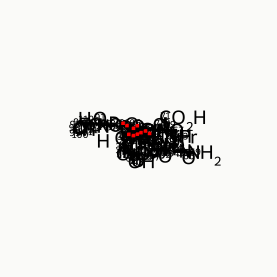 CCCC1O[C@@H]2C[C@H]3[C@@H]4C[C@H](F)C5=CC(=O)C=C[C@]5(C)[C@@]4(F)[C@@H](O)C[C@]3(C)[C@]2(C(=O)COC(=O)[C@H](CC(C)C)NC(=O)[C@H](CO)NC(=O)OCc2ccc(NC(=O)[C@H](CCCNC(N)=O)NC(=O)[C@@H](NC(=O)[C@H](CCC(=O)O)NC(=O)CCOCCOCCOCCOCCNC(=O)OC[C@@H]3[C@@H]4CCC#CCC[C@@H]43)C(C)C)cc2)O1